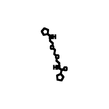 O=C(NCCOCCOCCNC1CCCC1)C1CCCC1